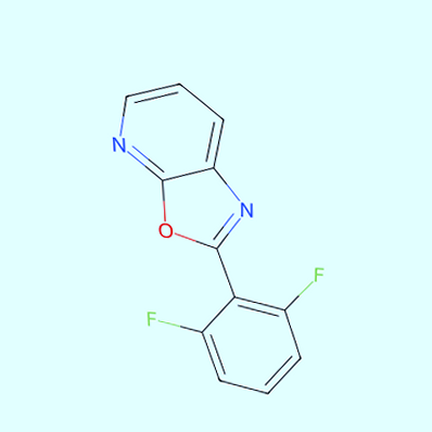 Fc1cccc(F)c1-c1nc2cccnc2o1